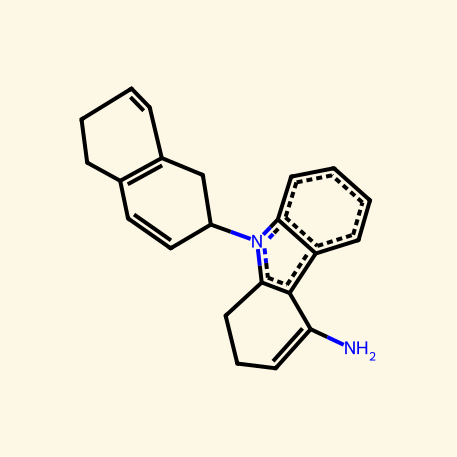 NC1=CCCc2c1c1ccccc1n2C1C=CC2=C(C=CCC2)C1